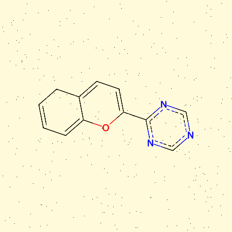 C1=CCC2=CC=C(c3ncncn3)OC2=C1